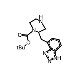 CC(C)(C)OC(=O)N1CCNCC1Cc1cccc2[nH]nnc12